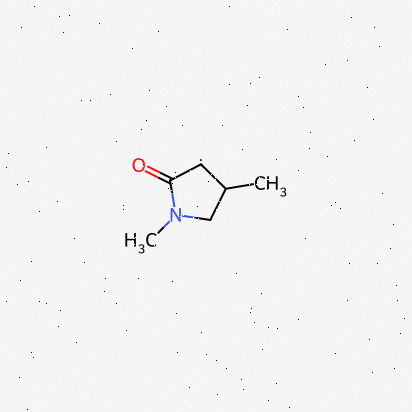 CC1[CH]C(=O)N(C)C1